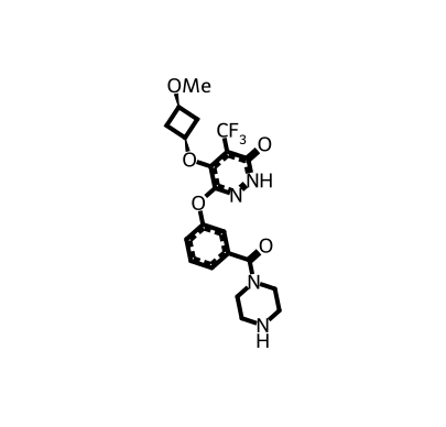 CO[C@H]1C[C@@H](Oc2c(Oc3cccc(C(=O)N4CCNCC4)c3)n[nH]c(=O)c2C(F)(F)F)C1